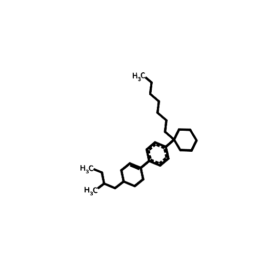 CCCCCCCC1(c2ccc(C3=CCC(CC(C)CC)CC3)cc2)CCCCC1